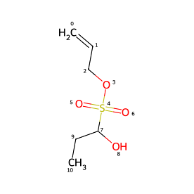 C=CCOS(=O)(=O)C(O)CC